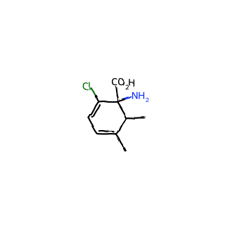 CC1=CC=C(Cl)C(N)(C(=O)O)C1C